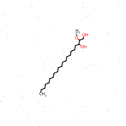 CCCCCCCCCCCCCCCCCCC(O)C(CO)OC